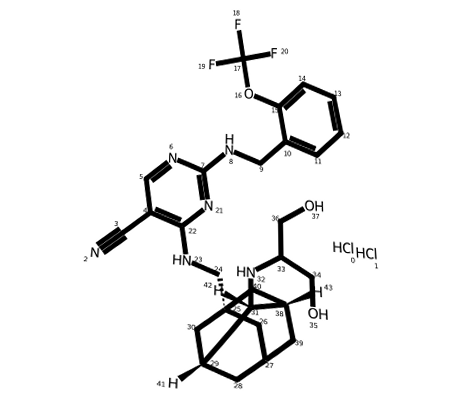 Cl.Cl.N#Cc1cnc(NCc2ccccc2OC(F)(F)F)nc1NC[C@]12CC3C[C@H](C1)[C@H](NC(CO)CO)[C@@H](C3)C2